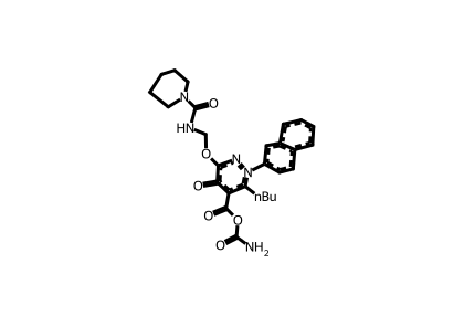 CCCCc1c(C(=O)OC(N)=O)c(=O)c(OCNC(=O)N2CCCCC2)nn1-c1ccc2ccccc2c1